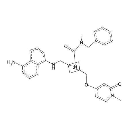 CN(Cc1ccccc1)C(=O)N1CC2(COc3ccn(C)c(=O)c3)CC1(CNc1cccc3c(N)nccc13)C2